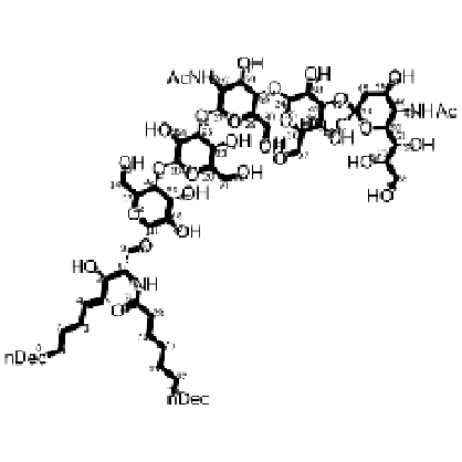 CCCCCCCCCCCCC/C=C/[C@@H](O)[C@H](CO[C@@H]1OC(CO)[C@@H](O[C@@H]2OC(CO)[C@H](O)[C@H](O[C@@H]3OC(CO)[C@@H](O[C@@H]4OC(CO)[C@H](O)[C@H](O[C@]5(C(=O)O)CC(O)[C@@H](NC(C)=O)C([C@H](O)[C@H](O)CO)O5)C4O)[C@H](O)C3NC(C)=O)C2O)[C@H](O)C1O)NC(=O)CCCCCCCCCCCCCCC